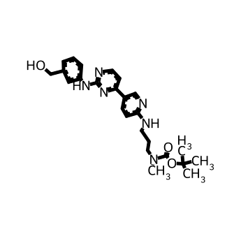 CN(CCCNc1ccc(-c2ccnc(Nc3cccc(CO)c3)n2)cn1)C(=O)OC(C)(C)C